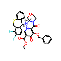 CCOC(=O)c1cn2c(c(OCc3ccccc3)c1=O)C(=O)N1CCOC[C@H]1N2[C@@H]1c2ccccc2SCc2c1ccc(F)c2F